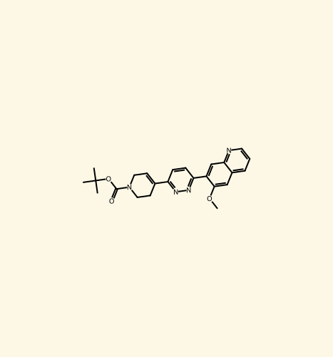 COc1cc2cccnc2cc1-c1ccc(C2=CCN(C(=O)OC(C)(C)C)CC2)nn1